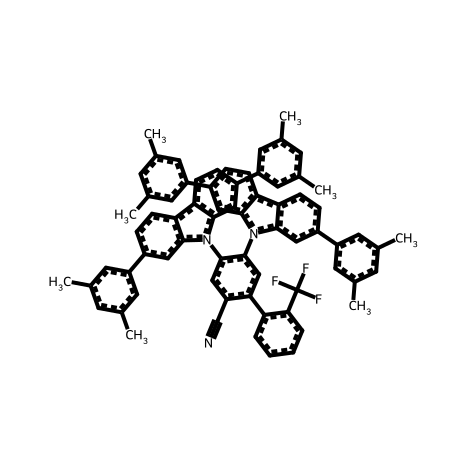 Cc1cc(C)cc(-c2ccc3c4ccc(-c5cc(C)cc(C)c5)cc4n(-c4cc(C#N)c(-c5ccccc5C(F)(F)F)cc4-n4c5cc(-c6cc(C)cc(C)c6)ccc5c5ccc(-c6cc(C)cc(C)c6)cc54)c3c2)c1